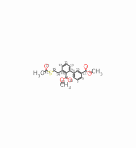 COC(=O)c1cccc(-c2cccc(CCSC(C)=O)c2C(=O)OC)c1